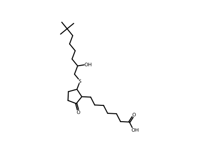 CC(C)(C)CCCCC(O)CSC1CCC(=O)C1CCCCCCC(=O)O